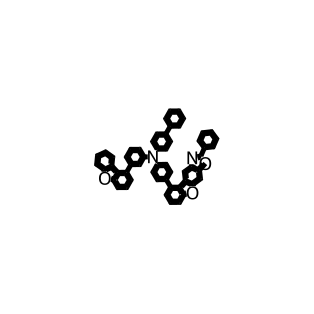 c1ccc(-c2ccc(N(c3ccc(-c4cccc5oc6cc7oc(-c8ccccc8)nc7cc6c45)cc3)c3cccc(-c4cccc5oc6ccccc6c45)c3)cc2)cc1